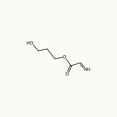 N=CC(=O)OCCCO